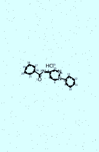 Cl.O=C(/N=c1\ccn(-c2ccccc2)nc1)c1ccccc1